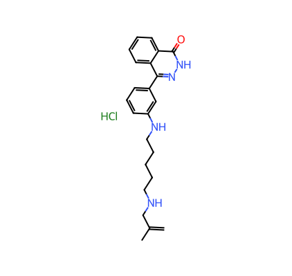 C=C(C)CNCCCCCNc1cccc(-c2n[nH]c(=O)c3ccccc23)c1.Cl